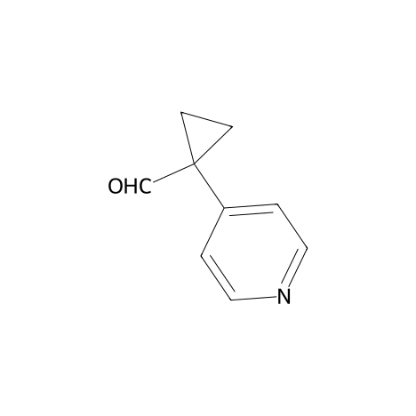 O=CC1(c2ccncc2)CC1